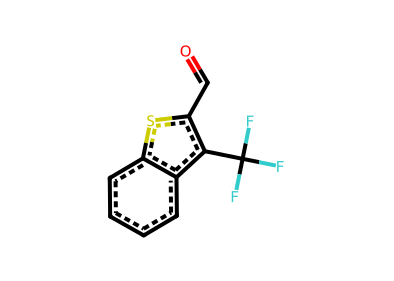 O=Cc1sc2ccccc2c1C(F)(F)F